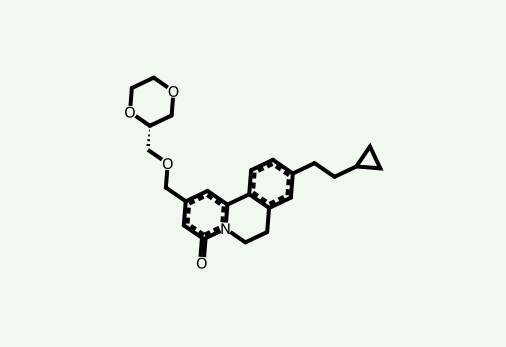 O=c1cc(COC[C@H]2COCCO2)cc2n1CCc1cc(CCC3CC3)ccc1-2